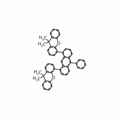 CC1(C)c2ccccc2Oc2c(-c3cccc4c(-c5ccccc5)c5cccc(-c6cccc7c6Oc6ccccc6C7(C)C)c5cc34)cccc21